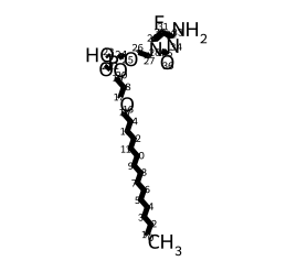 CCCCCCCCCCCCCCCCOCCCOP(=O)(O)COCCn1cc(F)c(N)nc1=O